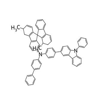 CC1C=CC2=C(C1)c1ccc(N(c3ccc(-c4ccccc4)cc3)c3ccc(-c4ccc5c(c4)c4ccccc4n5-c4ccccc4)cc3)cc1C21C2=C(C=CCC2C)c2ccccc21